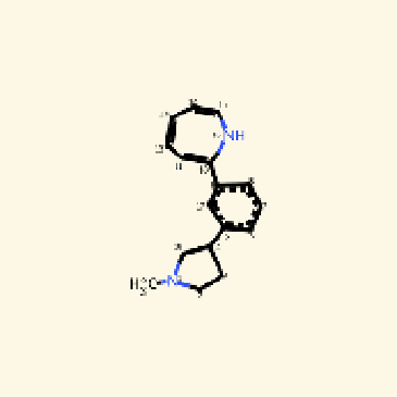 CN1CCC(c2cccc(C3=CC=CC=CN3)c2)C1